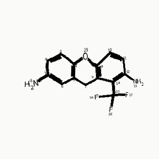 Nc1ccc2c(c1)Cc1c(ccc(N)c1C(F)(F)F)O2